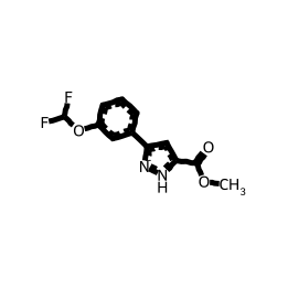 COC(=O)c1cc(-c2cccc(OC(F)F)c2)n[nH]1